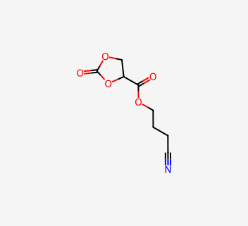 N#CCCCOC(=O)C1COC(=O)O1